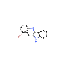 Brc1cccc2nc3c(cc12)[nH]c1ccccc13